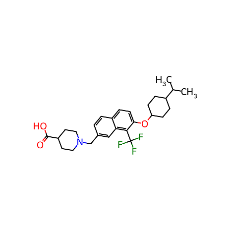 CC(C)C1CCC(Oc2ccc3ccc(CN4CCC(C(=O)O)CC4)cc3c2C(F)(F)F)CC1